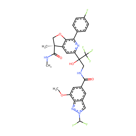 CNC(=O)[C@@]1(C)COc2c1cc(C(O)(CNC(=O)c1cc(OC)c3nn(C(F)F)cc3c1)C(F)(F)F)nc2-c1ccc(F)cc1